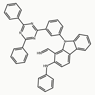 N=Cc1c(Nc2ccccc2)ccc2c3ccccc3n(-c3cccc(-c4nc(-c5ccccc5)nc(-c5ccccc5)n4)c3)c12